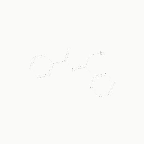 CCOC(=NC(=O)c1ccccc1)c1ccccc1